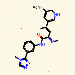 C/N=C(\C=C(/C)C1=CNCC(NC(C)=O)=C1)C(=O)Nc1cccc(-c2nncn2C)c1